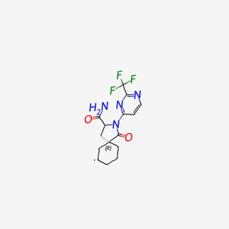 NC(=O)C1C[C@]2(C[CH]CCC2)C(=O)N1c1ccnc(C(F)(F)F)n1